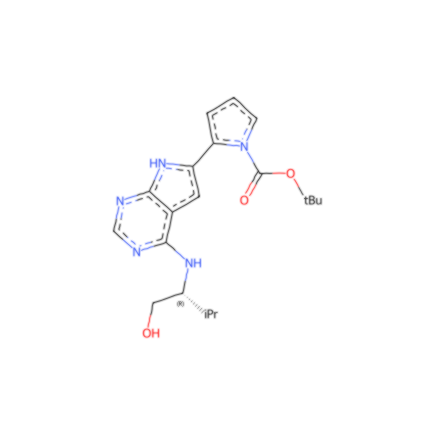 CC(C)[C@H](CO)Nc1ncnc2[nH]c(-c3cccn3C(=O)OC(C)(C)C)cc12